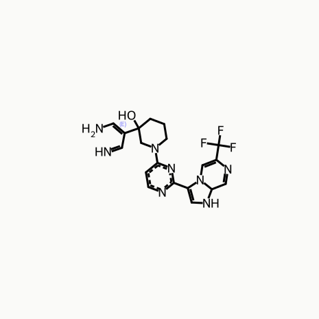 N=C/C(=C\N)C1(O)CCCN(c2ccnc(C3=CNC4C=NC(C(F)(F)F)=CN34)n2)C1